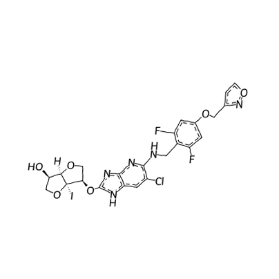 O[C@@H]1CO[C@@]2(I)[C@@H]1OC[C@H]2Oc1nc2nc(NCc3c(F)cc(OCc4ccon4)cc3F)c(Cl)cc2[nH]1